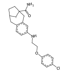 NC(=O)C12[CH]C(CC1)Cc1ccc(NCCOc3ccc(Cl)cc3)cc1C2